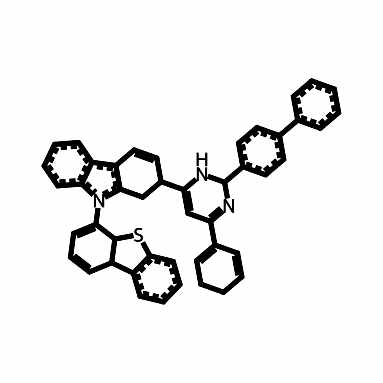 C1=CC2c3ccccc3SC2C(n2c3c(c4ccccc42)C=CC(C2=CC(C4=CCCC=C4)=NC(c4ccc(-c5ccccc5)cc4)N2)C3)=C1